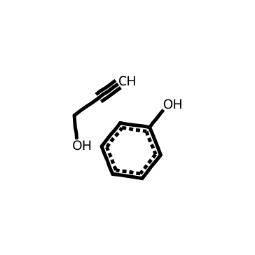 C#CCO.Oc1ccccc1